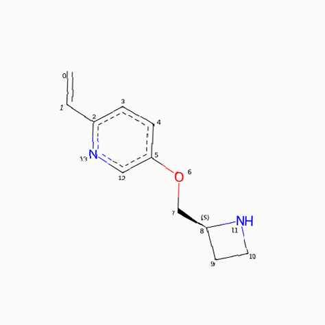 C=Cc1ccc(OC[C@@H]2CCN2)cn1